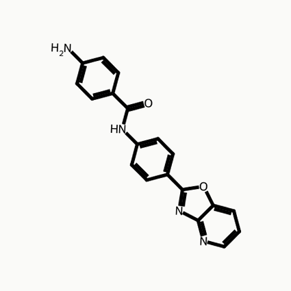 Nc1ccc(C(=O)Nc2ccc(-c3nc4ncccc4o3)cc2)cc1